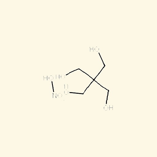 O=[N+]([O-])O.OCC(CO)(CO)CO